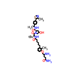 Cc1ncsc1-c1ccc([C@H](C)NC(=O)[C@@H]2C[C@@H](O)CN2C(=O)[C@@H](NC(=O)CCCCCc2cccc(OC[C@@H](N)CCC(N)=O)c2C)C(C)(C)C)cc1